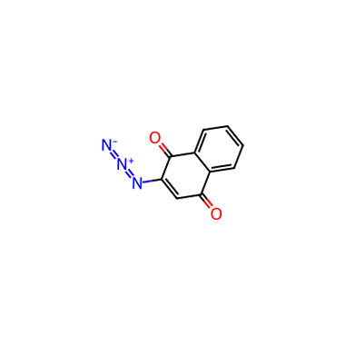 [N-]=[N+]=NC1=CC(=O)c2ccccc2C1=O